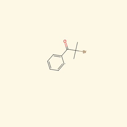 CC(C)(Br)C(=O)c1[c]cccc1